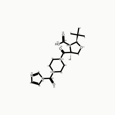 CC(C)(C)[C@H]1OC[C@@](C)(C(=O)N2CCN(C(=O)n3ccnc3)CC2)N1C(=O)O